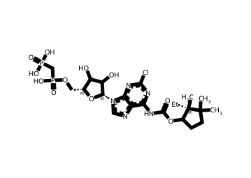 CC[C@@]1(C)C(OC(=O)Nc2nc(Cl)nc3c2ncn3[C@@H]2O[C@H](COP(=O)(O)CP(=O)(O)O)C(O)C2O)CCC1(C)C